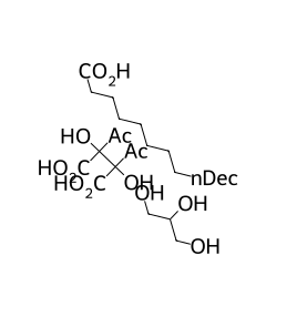 CC(=O)C(O)(C(=O)O)C(O)(C(C)=O)C(=O)O.CCCCCCCCCCCCCCCCCC(=O)O.OCC(O)CO